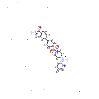 Cc1ccc(NC2CCN(S(=O)(=O)c3ccc(-c4ccc5c(c4)CNC5=O)cc3)CC2)nc1